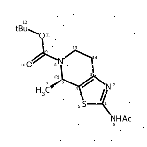 CC(=O)Nc1nc2c(s1)[C@@H](C)N(C(=O)OC(C)(C)C)CC2